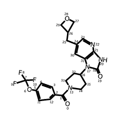 O=C(c1ccc(OC(F)(F)F)cc1)N1CCC(n2c(=O)[nH]c3ncc(CC4COC4)cc32)CC1